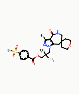 CCc1nn(CC(C)(C)COC(=O)c2ccc(S(=O)(=O)CC)cc2)c2c1C(=O)NCC1(CCOCC1)C2